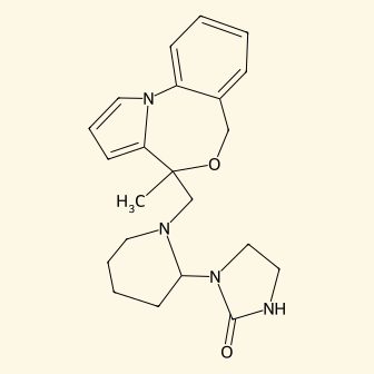 CC1(CN2CCCCC2N2CCNC2=O)OCc2ccccc2-n2cccc21